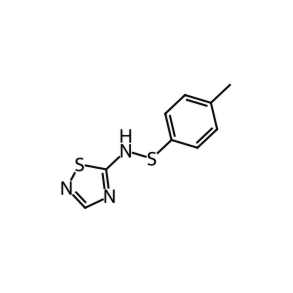 Cc1ccc(SNc2ncns2)cc1